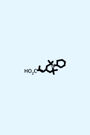 C/C(=C\C1CC(C)(C)N(C2CCCCC2)C(C)(C)C1)C(=O)O